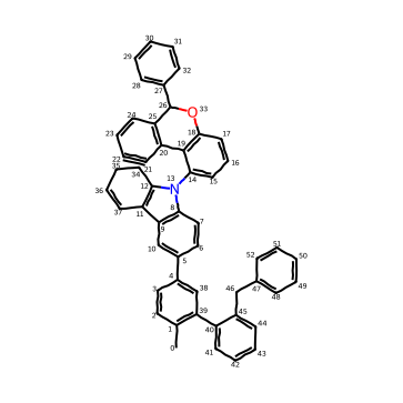 Cc1ccc(-c2ccc3c(c2)c2c(n3-c3cccc4c3-c3c#cccc3C(c3ccccc3)O4)CCC=C2)cc1-c1ccccc1Cc1ccccc1